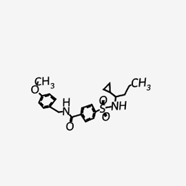 CCCC(NS(=O)(=O)c1ccc(C(=O)NCc2ccc(OC)cc2)cc1)C1CC1